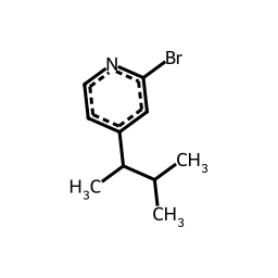 CC(C)C(C)c1ccnc(Br)c1